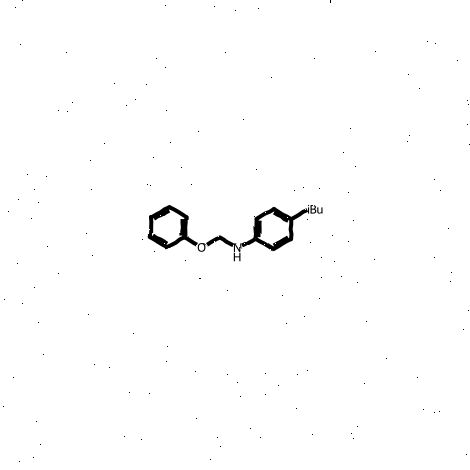 CCC(C)c1ccc(NCOc2ccccc2)cc1